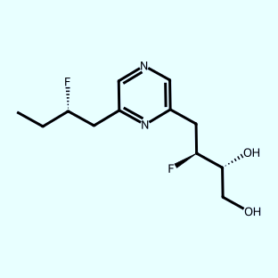 CC[C@H](F)Cc1cncc(C[C@H](F)[C@H](O)CO)n1